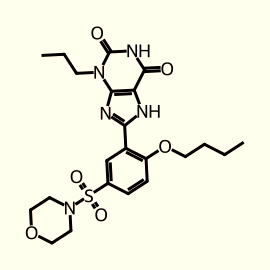 CCCCOc1ccc(S(=O)(=O)N2CCOCC2)cc1-c1nc2c([nH]1)c(=O)[nH]c(=O)n2CCC